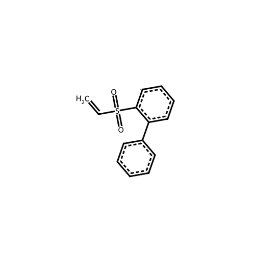 C=CS(=O)(=O)c1[c]cccc1-c1ccccc1